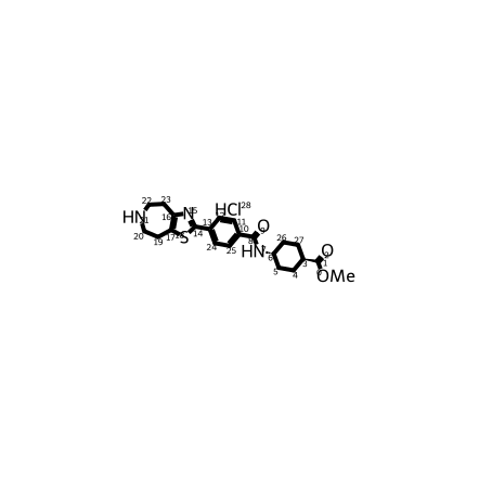 COC(=O)[C@H]1CC[C@H](NC(=O)c2ccc(-c3nc4c(s3)CCNCC4)cc2)CC1.Cl